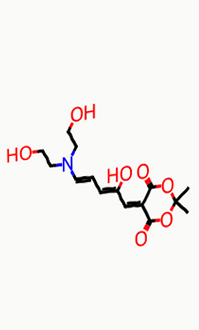 CC1(C)OC(=O)C(=C/C(O)=C/C=C/N(CCO)CCO)C(=O)O1